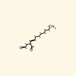 CCCCCCCC=CC([C]=O)C[C]=O